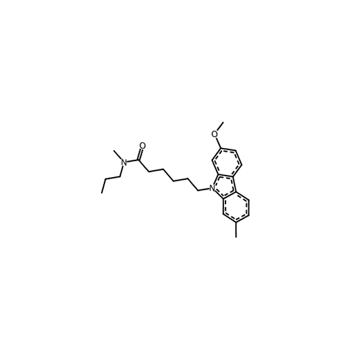 CCCN(C)C(=O)CCCCCn1c2cc(C)ccc2c2ccc(OC)cc21